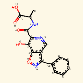 CC(NC(=O)c1ncc2c(-c3ccccc3)noc2c1O)C(=O)O